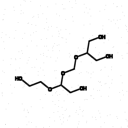 OCCOC(CO)OCOC(CO)CO